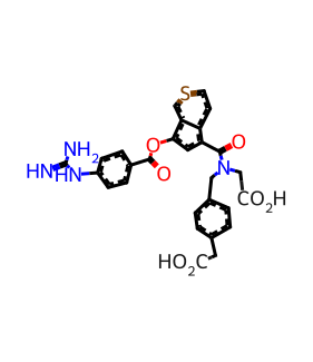 N=C(N)Nc1ccc(C(=O)Oc2cc(C(=O)N(CC(=O)O)Cc3ccc(CC(=O)O)cc3)c3ccscc2-3)cc1